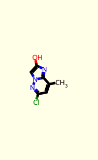 Cc1cc(Cl)nn2cc(O)nc12